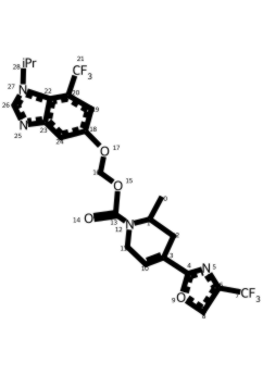 CC1CC(c2nc(C(F)(F)F)co2)=CCN1C(=O)OCOc1cc(C(F)(F)F)c2c(c1)ncn2C(C)C